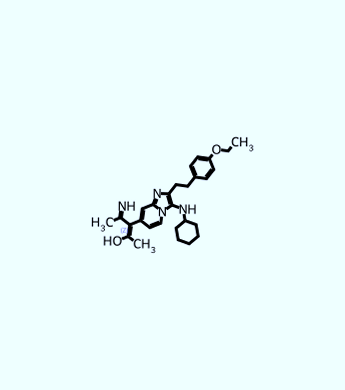 CCOc1ccc(CCc2nc3cc(/C(C(C)=N)=C(\C)O)ccn3c2NC2CCCCC2)cc1